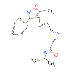 Cc1onc(-c2ccccc2)c1C=Cc1ncc(C(=O)NC(C)C)s1